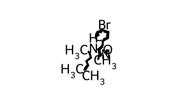 CC(C)=CCCC(C)Nc1c(C)noc1-c1ccc(Br)cc1